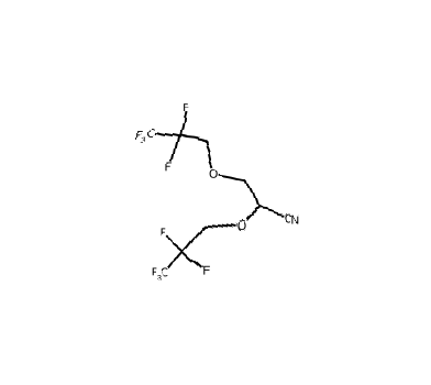 N#CC(COCC(F)(F)C(F)(F)F)OCC(F)(F)C(F)(F)F